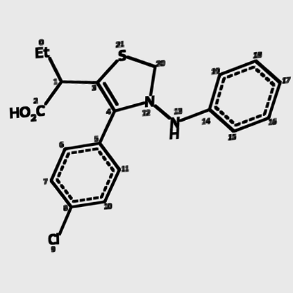 CCC(C(=O)O)C1=C(c2ccc(Cl)cc2)N(Nc2ccccc2)CS1